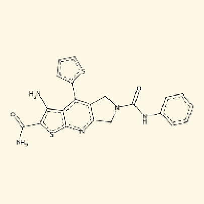 NC(=O)c1sc2nc3c(c(-c4cccs4)c2c1N)CN(C(=O)Nc1ccccc1)C3